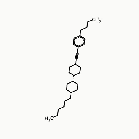 CCCCCC[C@H]1CC[C@H](C2CCC(C#Cc3ccc(CCCC)cc3)CC2)CC1